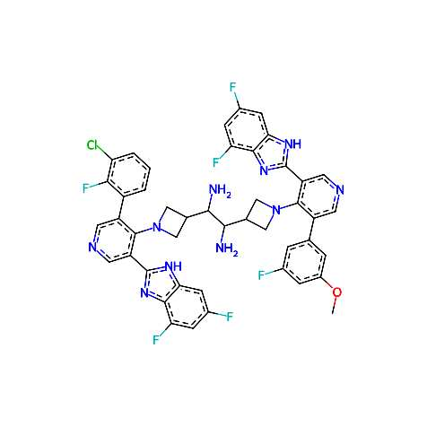 COc1cc(F)cc(-c2cncc(-c3nc4c(F)cc(F)cc4[nH]3)c2N2CC(C(N)C(N)C3CN(c4c(-c5nc6c(F)cc(F)cc6[nH]5)cncc4-c4cccc(Cl)c4F)C3)C2)c1